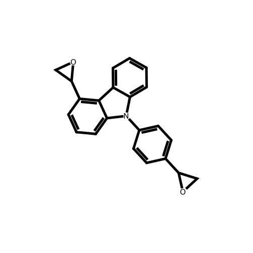 c1ccc2c(c1)c1c(C3CO3)cccc1n2-c1ccc(C2CO2)cc1